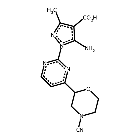 Cc1nn(-c2nccc(C3CN(C#N)CCO3)n2)c(N)c1C(=O)O